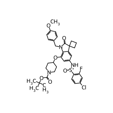 COc1ccc(CN2C(=O)C3(CCC3)c3cc(N[S+]([O-])c4ccc(Cl)cc4F)cc(OC4CCN(C(=O)OC(C)(C)C)CC4)c32)cc1